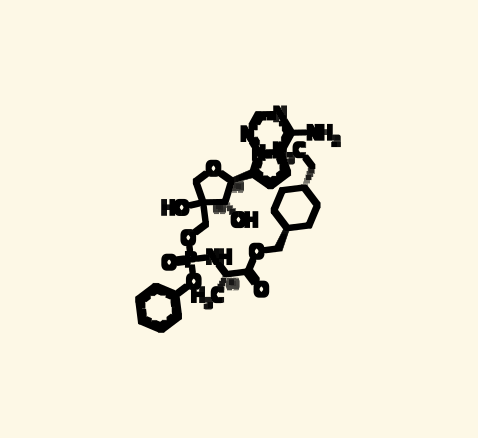 CC[C@H]1CC[C@H](COC(=O)[C@H](C)NP(=O)(OCC2(O)CO[C@@H](c3ccc4c(N)ncnn34)[C@@H]2O)Oc2ccccc2)CC1